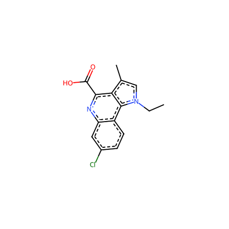 CCn1cc(C)c2c(C(=O)O)nc3cc(Cl)ccc3c21